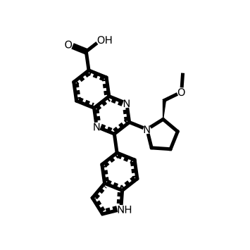 COC[C@H]1CCCN1c1nc2cc(C(=O)O)ccc2nc1-c1ccc2[nH]ccc2c1